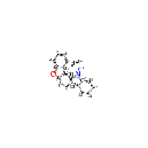 CC(C)c1cccc2oc3ccc4c5ccccc5n(C)c4c3c12